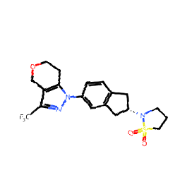 O=S1(=O)CCCN1[C@H]1Cc2ccc(-n3nc(C(F)(F)F)c4c3CCOC4)cc2C1